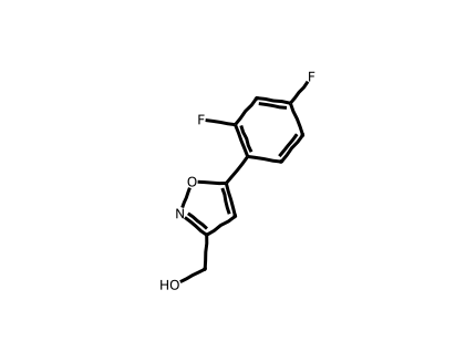 OCc1cc(-c2ccc(F)cc2F)on1